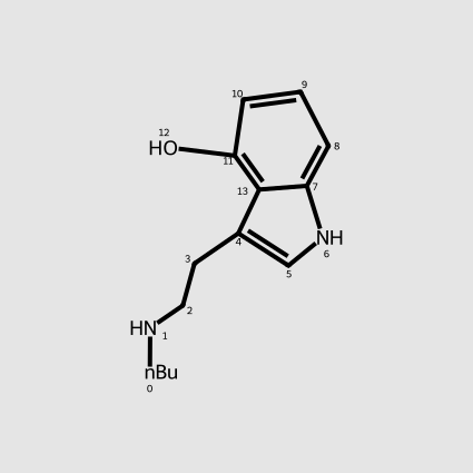 CCCCNCCc1c[nH]c2cccc(O)c12